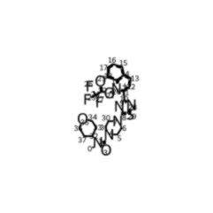 CN(C(=O)N1CCN(c2nc(-c3ccc4ccccc4[n+]3OC(=O)C(F)(F)F)ns2)CC1)C1CCOCC1